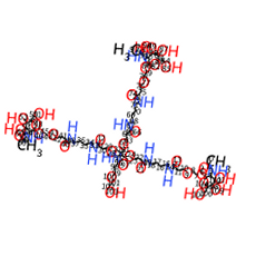 CC(=O)NC1C(OCCOCCC(=O)NCCCCNC(=O)CCOCC(COCCC(=O)NCCCCNC(=O)CCOCCOC2OC(CO)C(O)C(O)C2NC(C)=O)(COCCC(=O)NCCCCNC(=O)CCOCCOC2OC(CO)C(O)C(O)C2NC(C)=O)NC(=O)CCOCCO)OC(CO)C(O)C1O